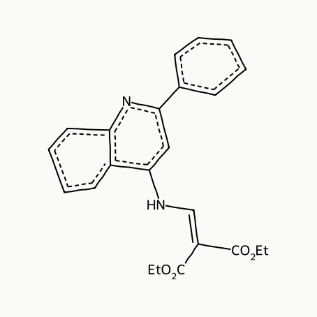 CCOC(=O)C(=CNc1cc(-c2ccccc2)nc2ccccc12)C(=O)OCC